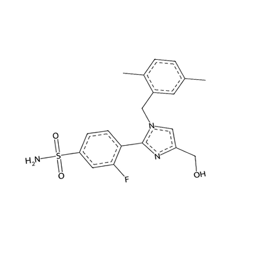 Cc1ccc(C)c(Cn2cc(CO)nc2-c2ccc(S(N)(=O)=O)cc2F)c1